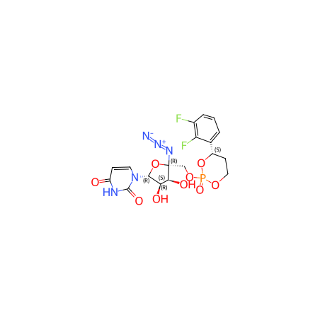 [N-]=[N+]=N[C@]1(COP2(=O)OCC[C@@H](c3cccc(F)c3F)O2)O[C@@H](n2ccc(=O)[nH]c2=O)[C@H](O)[C@@H]1O